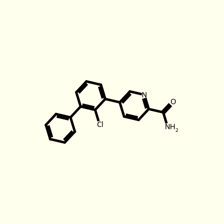 NC(=O)c1ccc(-c2cccc(-c3ccccc3)c2Cl)cn1